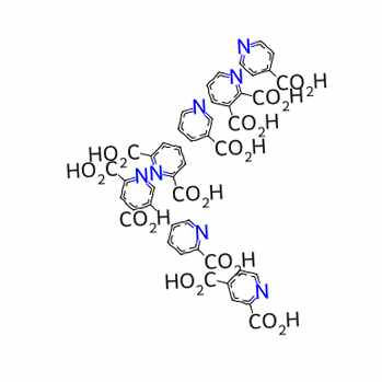 O=C(O)c1ccc(C(=O)O)nc1.O=C(O)c1cccc(C(=O)O)n1.O=C(O)c1ccccn1.O=C(O)c1cccnc1.O=C(O)c1cccnc1C(=O)O.O=C(O)c1ccnc(C(=O)O)c1.O=C(O)c1ccncc1